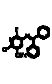 COc1cc(N=C(c2ccccc2)c2ccccc2)c(F)nc1Cl